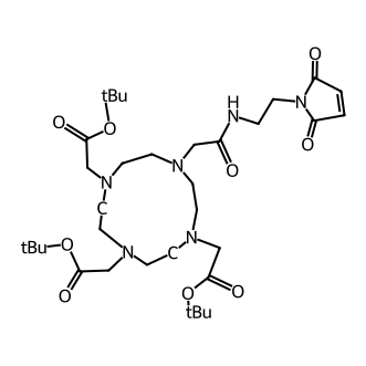 CC(C)(C)OC(=O)CN1CCN(CC(=O)NCCN2C(=O)C=CC2=O)CCN(CC(=O)OC(C)(C)C)CCN(CC(=O)OC(C)(C)C)CC1